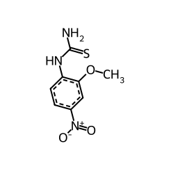 COc1cc([N+](=O)[O-])ccc1NC(N)=S